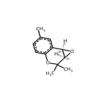 Cc1ccc2c(c1)[C@H]1O[C@H]1C(C)(C)O2